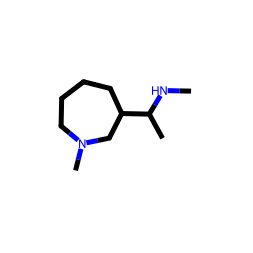 CNC(C)C1CCCCN(C)C1